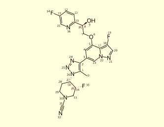 Cc1c(-c2cc(OC[C@H](O)c3ccc(F)cn3)c3c(F)cnn3c2)nnn1[C@H]1CCN(C#N)C[C@H]1F